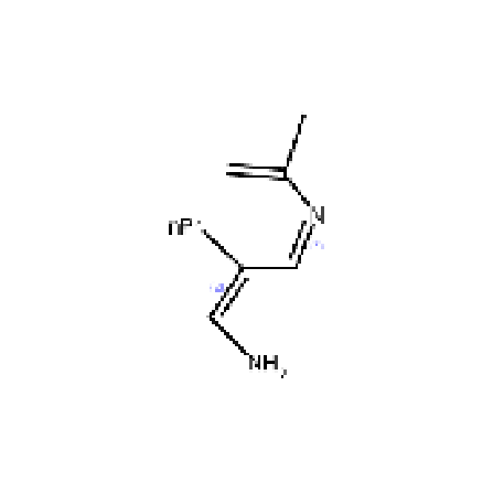 C=C(C)/N=C\C(=C/N)CCC